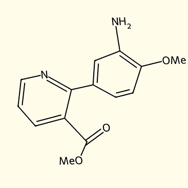 COC(=O)c1cccnc1-c1ccc(OC)c(N)c1